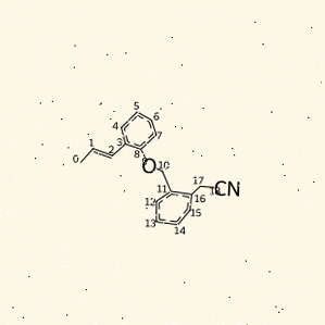 CC=Cc1ccccc1OCc1ccccc1CC#N